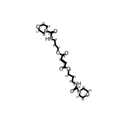 O=C(/C=C/C(=O)OCCCNC(=O)N1CCOCC1)OCCCNC(=O)N1CCOCC1